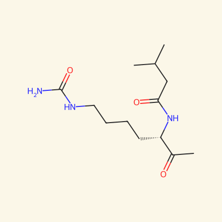 CC(=O)[C@H](CCCCNC(N)=O)NC(=O)CC(C)C